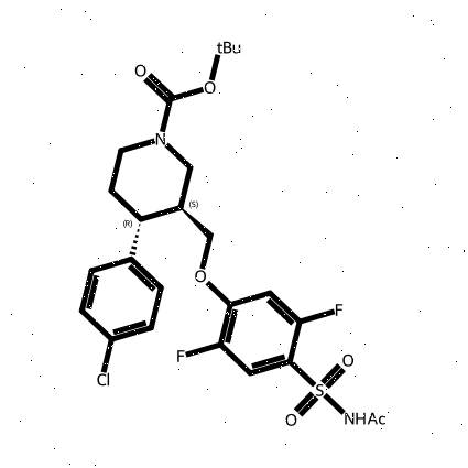 CC(=O)NS(=O)(=O)c1cc(F)c(OC[C@@H]2CN(C(=O)OC(C)(C)C)CC[C@H]2c2ccc(Cl)cc2)cc1F